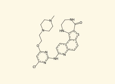 CN1CCN(CCOc2cc(Cl)nc(Nc3ccc4c(ccc5sc6c(c54)NCCNC6=O)n3)n2)CC1